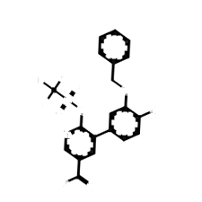 O=C(O)c1cnc(OS(=O)(=O)C(F)(F)F)c(-c2ccc(Cl)c(OCc3ccccc3)c2)c1